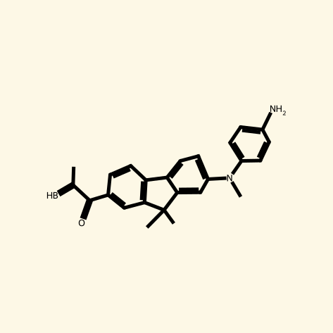 B=C(C)C(=O)c1ccc2c(c1)C(C)(C)c1cc(N(C)c3ccc(N)cc3)ccc1-2